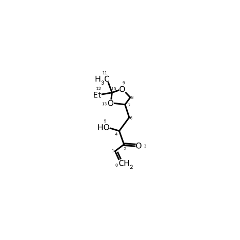 C=CC(=O)C(O)CC1COC(C)(CC)O1